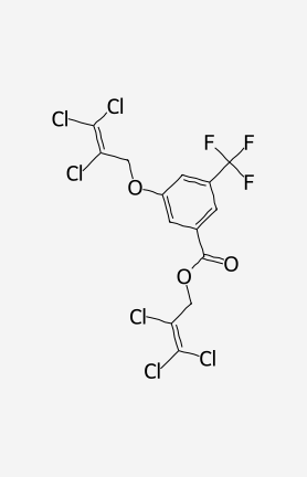 O=C(OCC(Cl)=C(Cl)Cl)c1cc(OCC(Cl)=C(Cl)Cl)cc(C(F)(F)F)c1